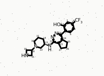 Oc1cc(C(F)(F)F)ccc1-c1nnc(N[C@@H]2CCCN(C3CNC3)C2)c2c1CCC2